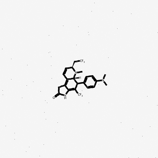 CN(C)c1ccc(C2C(C(F)(F)F)=C3NC(=O)CC3=C3C=C[C@@H](CC(F)(F)F)N(C)[C@@H]32)cc1